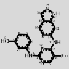 Oc1cccc(Nc2ncc(F)c(Nc3ccc4cn[nH]c4c3)n2)c1